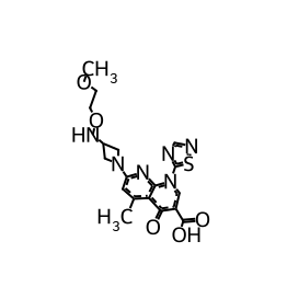 COCCONC1CN(c2cc(C)c3c(=O)c(C(=O)O)cn(-c4ncns4)c3n2)C1